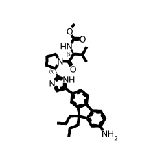 CCCC1(CCC)c2cc(N)ccc2-c2ccc(-c3cnc([C@@H]4CCCN4C(=O)[C@@H](NC(=O)OC)C(C)C)[nH]3)cc21